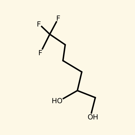 OCC(O)CCCC(F)(F)F